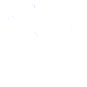 Cc1cc(N)ccc1-c1cccc2cccc(-c3ccc(N)cc3C(F)(F)F)c12